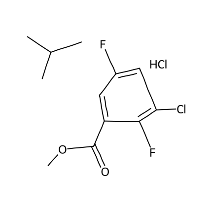 CC(C)C.COC(=O)c1cc(F)cc(Cl)c1F.Cl